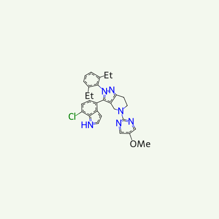 CCc1cccc(CC)c1-n1nc2c(c1-c1ccc(Cl)c3[nH]ccc13)CN(c1ncc(OC)cn1)CC2